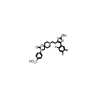 CC(C)(C)c1nc(-c2cc(F)c(F)cc2F)c(CCN2CCC3(CC2)CN(c2ccc(C(=O)O)cc2)C(=O)O3)s1